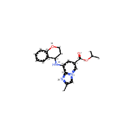 Cc1cn2cc(C(=O)OC(C)C)cc(NC3CCOc4ccccc43)c2n1